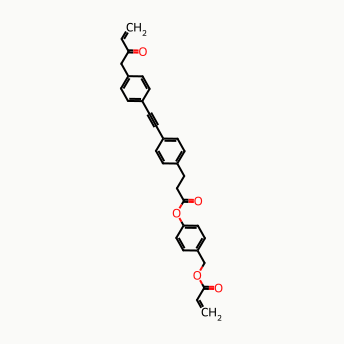 C=CC(=O)Cc1ccc(C#Cc2ccc(CCC(=O)Oc3ccc(COC(=O)C=C)cc3)cc2)cc1